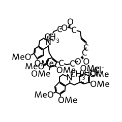 COc1cc2c(cc1OC)C(Cc1cc(OC)c(OC)c(OC)c1)N(C)CC2.COc1cc2c(cc1OC)C1Cc3cc(OC)c(OC)c(OC)c3CCCOC(=O)CC/C=C/CCC(=O)OCCC[N@@+]1(C)CC2.Cl.[Cl-]